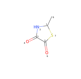 CC1NC(=O)C(=O)S1